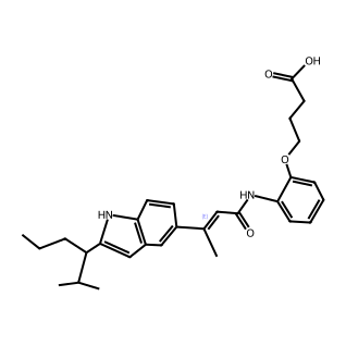 CCCC(c1cc2cc(/C(C)=C/C(=O)Nc3ccccc3OCCCC(=O)O)ccc2[nH]1)C(C)C